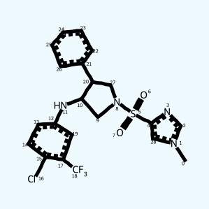 Cn1cnc(S(=O)(=O)N2CC(Nc3ccc(Cl)c(C(F)(F)F)c3)C(c3ccccc3)C2)c1